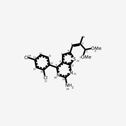 COC(OC)C(C)=Cc1cc2c(-c3ccc(Cl)cc3Cl)nc(N)nc2s1